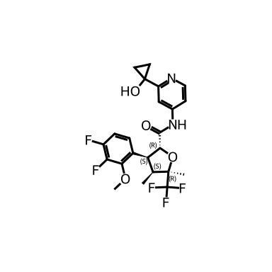 COc1c([C@H]2[C@H](C(=O)Nc3ccnc(C4(O)CC4)c3)O[C@@](C)(C(F)(F)F)[C@H]2C)ccc(F)c1F